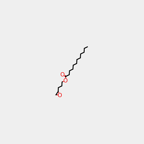 CCCCCCCCCCCC(=O)OCCCC1CO1